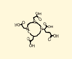 O=C(O)CCC(C(=O)O)N1CCC(CC(=O)O)CCN(CC(=O)O)CCN(CC(=O)O)CC1